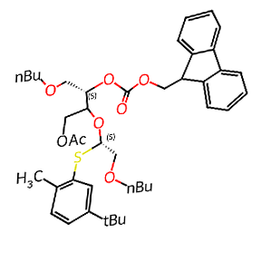 CCCCOC[C@H](OC(=O)OCC1c2ccccc2-c2ccccc21)C(COC(C)=O)O[C@H](COCCCC)Sc1cc(C(C)(C)C)ccc1C